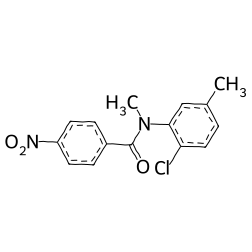 Cc1ccc(Cl)c(N(C)C(=O)c2ccc([N+](=O)[O-])cc2)c1